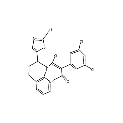 O=c1c(-c2cc(Cl)cc(Cl)c2)c([O-])n2c3c(ccc[n+]13)CCC2c1cnc(Cl)s1